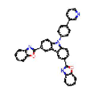 c1cncc(-c2ccc(-n3c4ccc(-c5nc6ccccc6o5)cc4c4cc(-c5nc6ccccc6o5)ccc43)cc2)c1